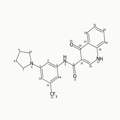 O=C(Nc1cc(N2CCCC2)cc(C(F)(F)F)c1)c1c[nH]c2ccccc2c1=O